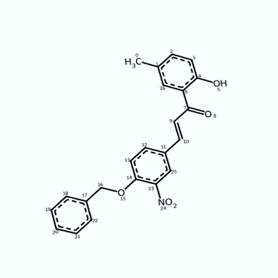 Cc1ccc(O)c(C(=O)/C=C/c2ccc(OCc3ccccc3)c([N+](=O)[O-])c2)c1